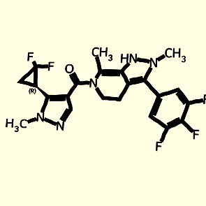 CC1=C2NN(C)C(c3cc(F)c(F)c(F)c3)=C2CCN1C(=O)c1cnn(C)c1[C@H]1CC1(F)F